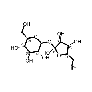 CC(C)C[C@H]1O[C@@](O)(OC2O[C@H](CO)[C@@H](O)[C@H](O)[C@H]2O)[C@@H](O)[C@@H]1O